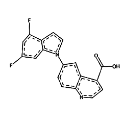 O=C(O)c1ccnc2ccc(-n3ccc4c(F)cc(F)cc43)cc12